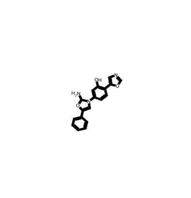 NC1OC(c2ccccc2)=CN1c1ccc(-c2cnco2)c(O)c1